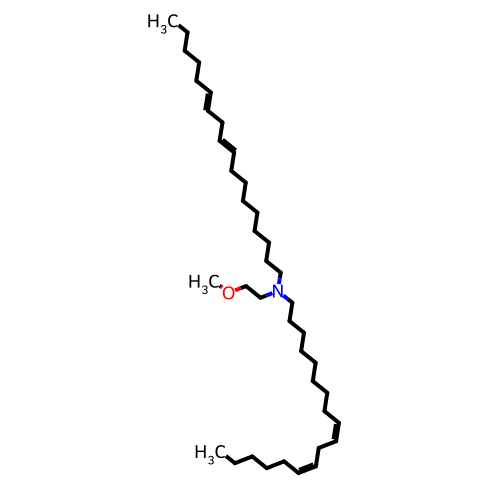 CCCCCC=CCC=CCCCCCCCCN(CCCCCCCC/C=C\C/C=C\CCCCC)CCOC